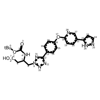 CC(C)(C)OC(=O)NC(CC(=O)O)Cn1nnc(-c2ccc(Oc3ccc(-c4ccn[nH]4)cn3)cc2)n1